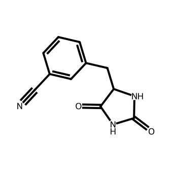 N#Cc1cccc(CC2NC(=O)NC2=O)c1